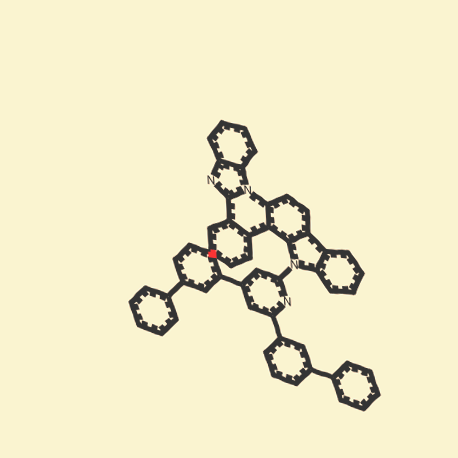 c1ccc(-c2cccc(-c3cc(-c4cccc(-c5ccccc5)c4)nc(-n4c5ccccc5c5ccc6c(c7ccccc7c7nc8ccccc8n67)c54)c3)c2)cc1